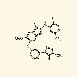 COc1cc2c(cc1Oc1ccnc(-c3ncc(C(F)(F)F)[nH]3)c1)nc(Nc1cc(C(F)(F)F)ccc1F)n2C